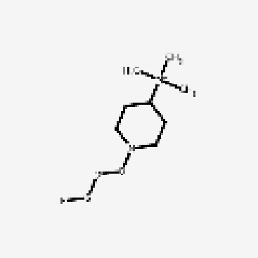 C[N+](C)(C)C1CCN(OOSF)CC1